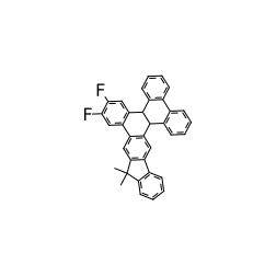 CC1(C)c2ccccc2-c2cc3c(cc21)-c1cc(F)c(F)cc1C1c2ccccc2-c2ccccc2C31